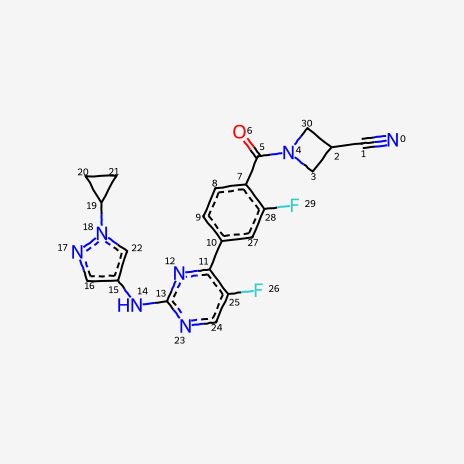 N#CC1CN(C(=O)c2ccc(-c3nc(Nc4cnn(C5CC5)c4)ncc3F)cc2F)C1